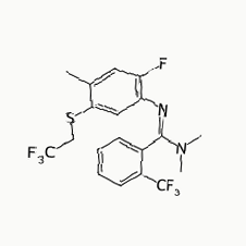 Cc1cc(F)c(/N=C(\c2ccccc2C(F)(F)F)N(C)C)cc1SCC(F)(F)F